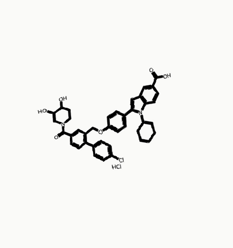 Cl.O=C(O)c1ccc2c(c1)cc(-c1ccc(OCc3cc(C(=O)N4CCC(O)C(O)C4)ccc3-c3ccc(Cl)cc3)cc1)n2C1CCCCC1